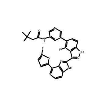 CC(C)(C)CC(=O)Nc1cncc(-c2ccc3[nH]nc(-c4nc5c(-c6ccc(F)s6)nccc5[nH]4)c3c2F)c1